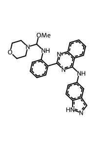 COC(Nc1ccccc1-c1nc(Nc2ccc3[nH]ncc3c2)c2ccccc2n1)N1CCOCC1